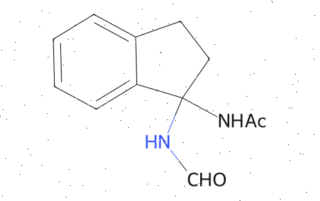 CC(=O)NC1(NC=O)CCc2ccccc21